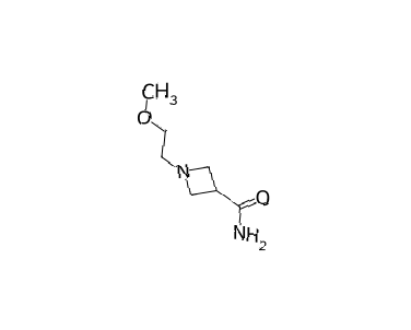 COCCN1CC(C(N)=O)C1